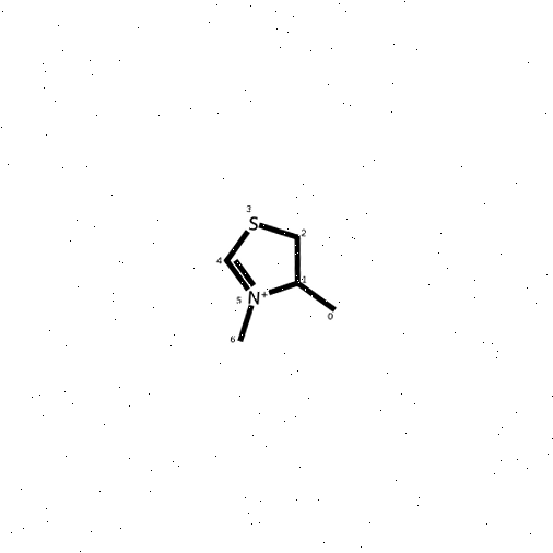 CC1CSC=[N+]1C